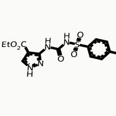 CCOC(=O)c1c[nH]nc1NC(=O)NS(=O)(=O)c1ccc(C)cc1